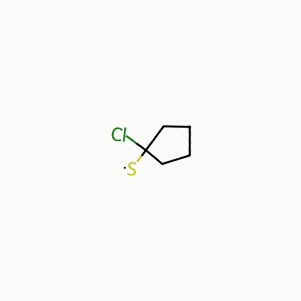 [S]C1(Cl)CCCC1